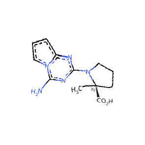 C[C@@]1(C(=O)O)CCCN1c1nc(N)n2cccc2n1